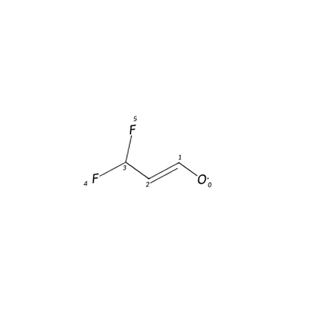 [O]C=CC(F)F